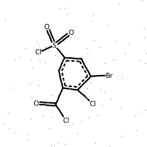 O=C(Cl)c1cc(S(=O)(=O)Cl)cc(Br)c1Cl